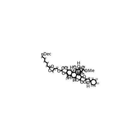 CCCCCCCCCCCCCCCC1OCC(COC(=O)OC2=C(C)[C@@H]3C[C@H]4OC(=O)C(OC(=O)CC5(O)CCCCC5)[C@@H]5[C@@]4(CC)C([C@@H](O)[C@@](C)(O)[C@]5(C)C(=O)OC)[C@@]3(C)CC2=O)O1